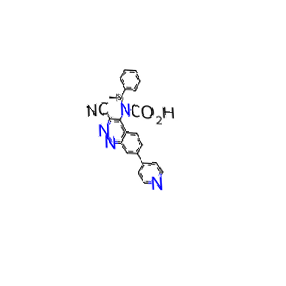 C[C@@H](c1ccccc1)N(C(=O)O)c1c(C#N)nnc2cc(-c3ccncc3)ccc12